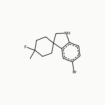 CC1(F)CCC2(CC1)CNc1ccc(Br)cc12